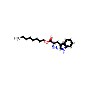 CCCCCCCCOC(=O)[C@@H](N)Cc1c[nH]c2ccccc12